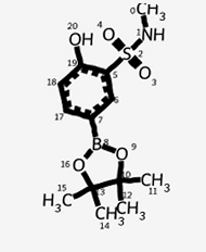 CNS(=O)(=O)c1cc(B2OC(C)(C)C(C)(C)O2)ccc1O